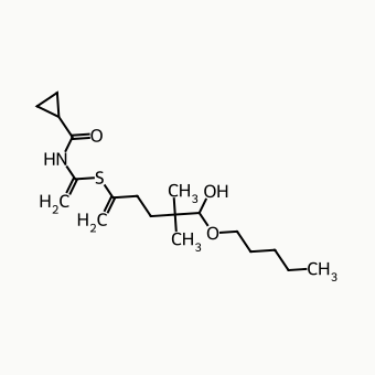 C=C(CCC(C)(C)C(O)OCCCCC)SC(=C)NC(=O)C1CC1